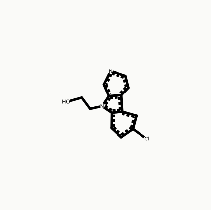 OCCn1c2ccc(Cl)cc2c2ccncc21